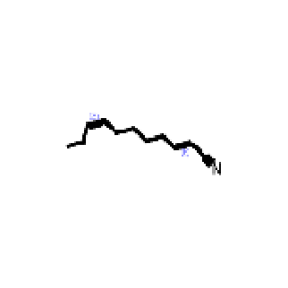 CC/C=C\CCCC/C=C/C#N